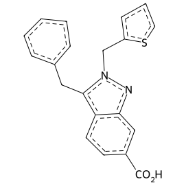 O=C(O)c1ccc2c(Cc3ccccc3)n(Cc3cccs3)nc2c1